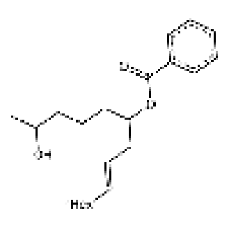 CCCCCCC=CCC(CCCC(C)O)OC(=O)c1ccccc1